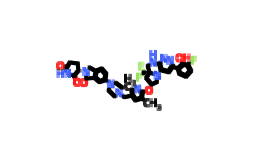 Cc1cc(CN2CCN(c3ccc4c(c3)C(=O)N([C@H]3CCC(=O)NC3=O)C4)CC2)c(C)nc1O[C@H]1CN2c3cc(-c4cccc(F)c4O)nnc3NC[C@@]2(C(F)F)C1